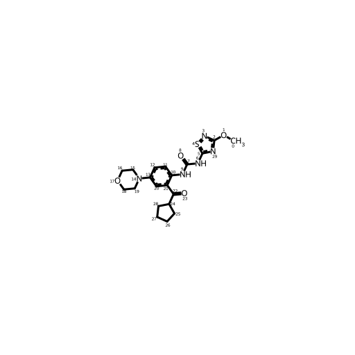 COc1nsc(NC(=O)Nc2ccc(N3CCOCC3)cc2C(=O)C2CCCC2)n1